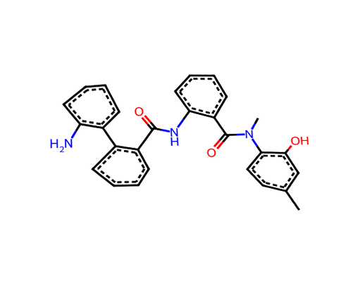 Cc1ccc(N(C)C(=O)c2ccccc2NC(=O)c2ccccc2-c2ccccc2N)c(O)c1